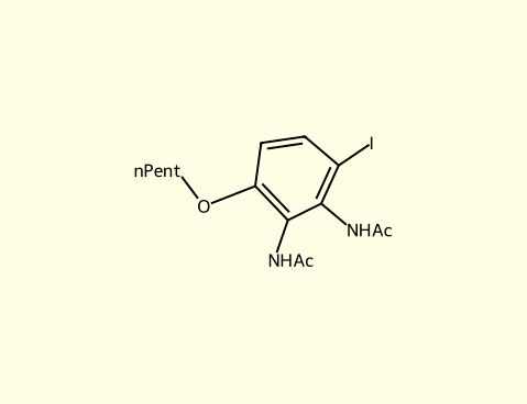 CCCCCOc1ccc(I)c(NC(C)=O)c1NC(C)=O